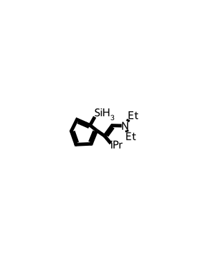 CCN(C=C(c1ccccc1[SiH3])C(C)C)CC